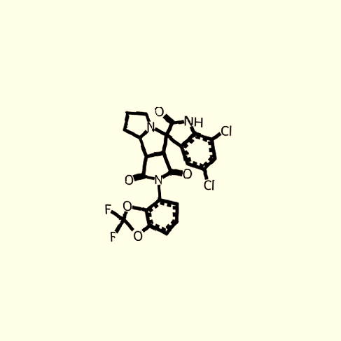 O=C1C2C3CCCN3C3(C(=O)Nc4c(Cl)cc(Cl)cc43)C2C(=O)N1c1cccc2c1OC(F)(F)O2